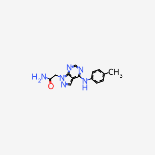 Cc1ccc(Nc2ncnc3c2cnn3CC(N)=O)cc1